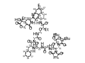 CC[C@@H](OCNC(=O)CNC(=O)[C@H](Cc1ccccc1)NC(=O)CNC(=O)CNC(=O)[C@H](CN(CC(=O)OC(C)(C)C)C(=O)OC(C)(C)C)N1C(=O)C=CC1=O)C(=O)N[C@H]1CCc2c(C)c(F)cc3nc4c(c1c23)Cn1c-4cc2c(c1=O)COC(=O)[C@]2(O)CC